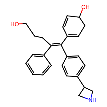 OCCC/C(=C(\C1=CCC(O)C=C1)c1ccc(C2CNC2)cc1)c1ccccc1